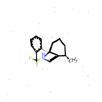 C[C@@H]1CCC[C@]2(c3ccccc3C(F)(F)F)NC=C12